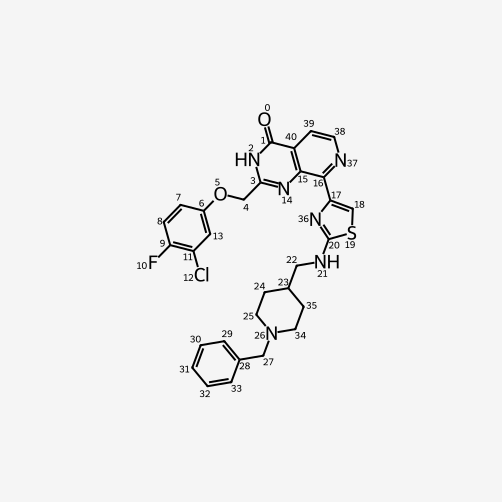 O=c1[nH]c(COc2ccc(F)c(Cl)c2)nc2c(-c3csc(NCC4CCN(Cc5ccccc5)CC4)n3)nccc12